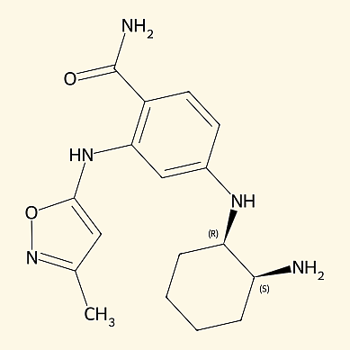 Cc1cc(Nc2cc(N[C@@H]3CCCC[C@@H]3N)ccc2C(N)=O)on1